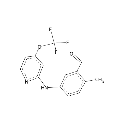 Cc1ccc(Nc2cc(OC(F)(F)F)ccn2)cc1C=O